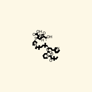 C=C(N1CC[C@H](SC2=C(C(=O)O)N3C(=O)[C@H]([C@@H](C)O)[C@H]3C2)C1)C(C)(C)CCC(C)(C)C[C@@H](CCc1cccnc1)OC(=O)[C@@H]1CCCCN1C(=O)C(=O)C(C)(C)CC